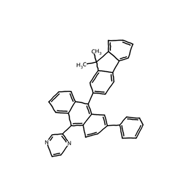 CC1(C)c2ccccc2-c2ccc(-c3c4ccccc4c(-c4cnccn4)c4ccc(-c5ccccc5)cc34)cc21